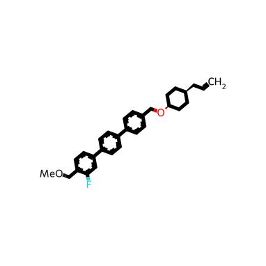 C=CC[C@H]1CC[C@H](OCc2ccc(-c3ccc(-c4ccc(COC)c(F)c4)cc3)cc2)CC1